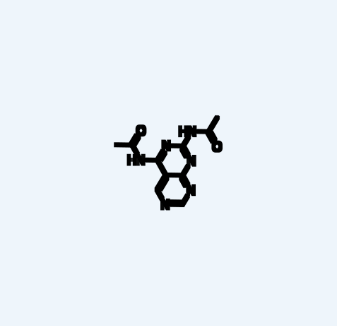 CC(=O)Nc1nc(NC(C)=O)c2cncnc2n1